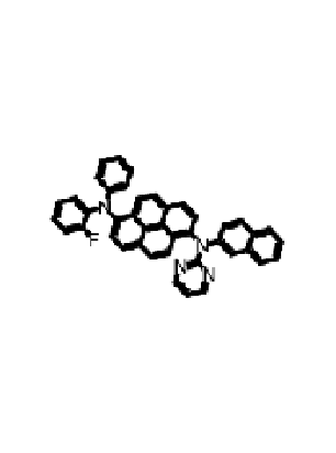 Fc1ccccc1N(c1ccccc1)c1ccc2ccc3c(N(c4ccc5ccccc5c4)c4ncccn4)ccc4ccc1c2c43